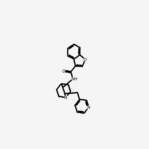 O=C(NC1C2CCN(CC2)C1Cc1cccnc1)c1coc2ccccc12